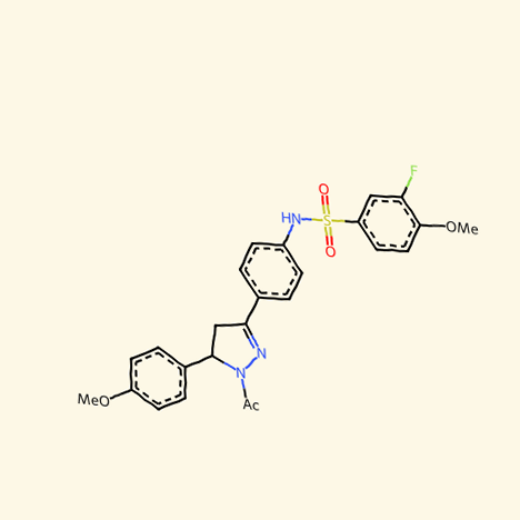 COc1ccc(C2CC(c3ccc(NS(=O)(=O)c4ccc(OC)c(F)c4)cc3)=NN2C(C)=O)cc1